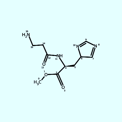 COC(=O)[C@H](CC1C=NC=N1)NC(=O)CCN